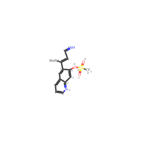 CN/C(=C\C=N)c1cc2cccnc2cc1OS(=O)(=O)C(F)(F)F